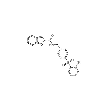 CCc1ccccc1S(=O)(=O)c1ccc(CNC(=O)c2cc3ccncc3o2)cc1